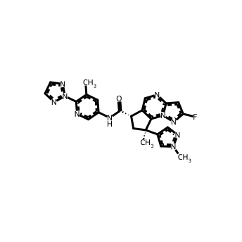 Cc1cc(NC(=O)[C@H]2C[C@](C)(c3cnn(C)c3)c3c2cnc2cc(F)nn32)cnc1-n1nccn1